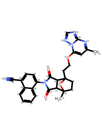 Cc1cc(OCCC23CCC(C)(O2)C2C(=O)N(c4ccc(C#N)c5ccccc45)C(=O)C23)n2ncnc2n1